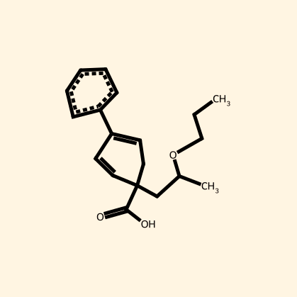 CCCOC(C)CC1(C(=O)O)C=CC(c2ccccc2)=CC1